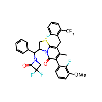 COc1cccc(-c2c(C)c(Cc3c(F)cccc3C(F)(F)F)c3n(c2=O)C(C(c2ccccc2)N2CC(F)(F)C2=O)CS3)c1F